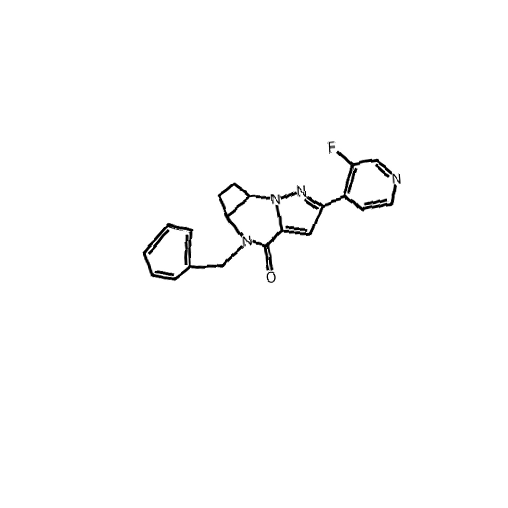 O=C1c2cc(-c3ccncc3F)nn2C2CCC2N1Cc1ccccc1